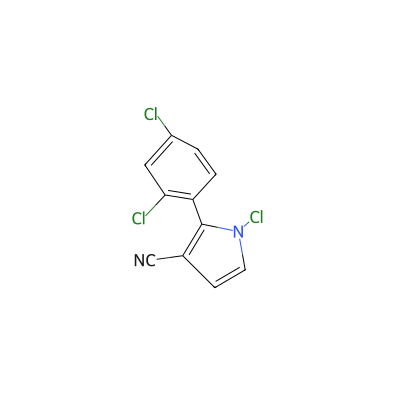 N#Cc1ccn(Cl)c1-c1ccc(Cl)cc1Cl